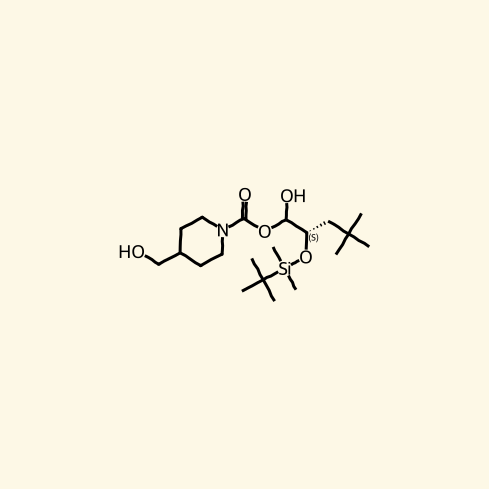 CC(C)(C)C[C@H](O[Si](C)(C)C(C)(C)C)C(O)OC(=O)N1CCC(CO)CC1